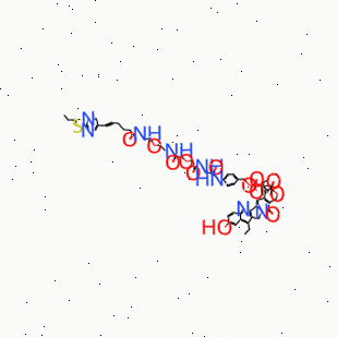 CCCSc1ncc(C#CCCCC(=O)NCCOCCNC(=O)COCC(=O)NCC(=O)Nc2ccc(COC(=O)O[C@]3(CC)C(=O)OCc4c3cc3n(c4=O)Cc4c-3nc3ccc(O)cc3c4CC)cc2)cn1